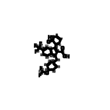 O=C(O)c1c(-c2ccc[nH]c2=O)c2cc(C(F)(F)F)ccc2n1Cc1ccc(OC(F)F)cc1